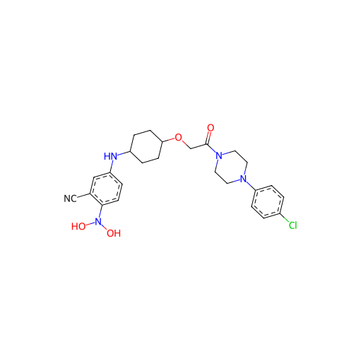 N#Cc1cc(NC2CCC(OCC(=O)N3CCN(c4ccc(Cl)cc4)CC3)CC2)ccc1N(O)O